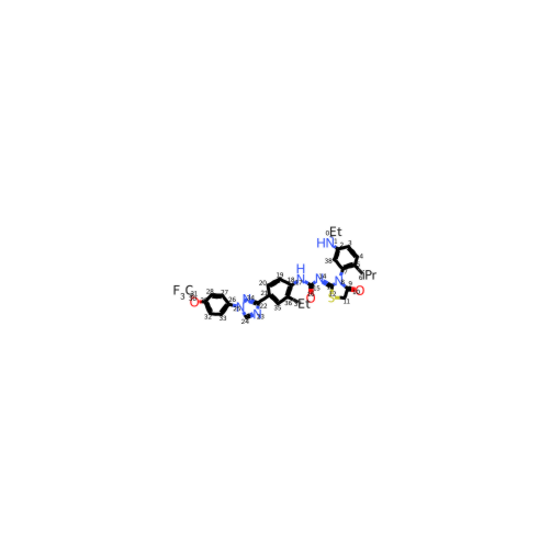 CCNc1ccc(C(C)C)c(N2C(=O)CSC2=NC(=O)Nc2ccc(-c3ncn(-c4ccc(OC(F)(F)F)cc4)n3)cc2CC)c1